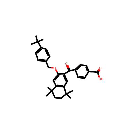 CC(C)(C)c1ccc(COc2cc3c(cc2C(=O)c2ccc(C(=O)O)cc2)C(C)(C)CCC3(C)C)cc1